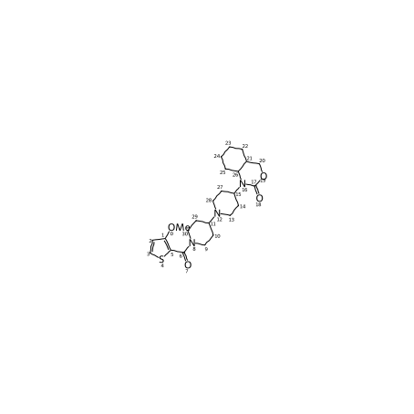 COc1ccsc1C(=O)N1CCC(N2CCC(N3C(=O)OCC4CCCCC43)CC2)CC1